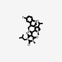 CC(=O)c1cc(-c2c3c(=O)n(C)c(=O)n(CC(C)C)c3nn2Cc2ccnc3ccc(F)cc23)n(C)c1